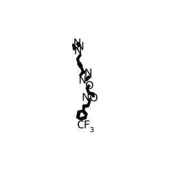 FC(F)(F)c1ccc(/C=C/c2nc(COc3cnc(C#CCCn4ccnn4)cn3)co2)cc1